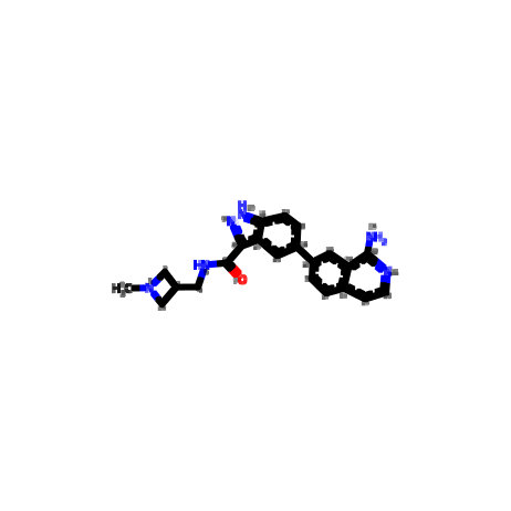 CN1CC(CNC(=O)c2n[nH]c3ccc(-c4ccc5ccnc(N)c5c4)cc23)C1